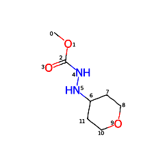 COC(=O)NNC1CCOCC1